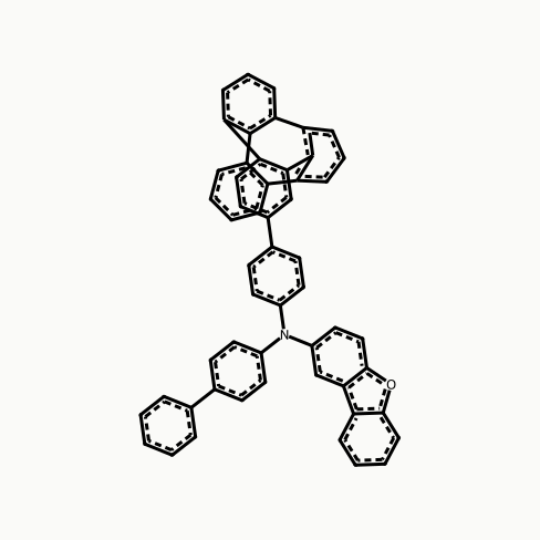 c1ccc(-c2ccc(N(c3ccc(-c4ccc5c(c4)-c4c6cccc4-c4cccc-5c4-c4ccccc4-6)cc3)c3ccc4oc5ccccc5c4c3)cc2)cc1